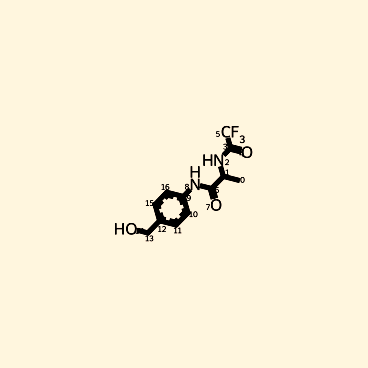 CC(NC(=O)C(F)(F)F)C(=O)Nc1ccc(CO)cc1